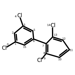 Clc1cc(Cl)cc(-c2c(Cl)cccc2Cl)c1